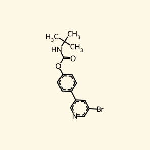 CC(C)(C)NC(=O)Oc1ccc(-c2cncc(Br)c2)cc1